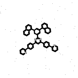 C1=C(c2nc(-c3ccc(-c4ccccn4)cc3)cc(-c3ccc(-c4ccccn4)cc3)n2)CC(c2cccc3ccccc23)C=C1c1cccc2ccccc12